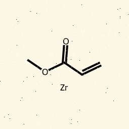 C=CC(=O)OC.[Zr]